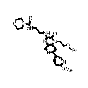 CCCOCCn1c(=O)c(NCCNC(=O)N2CCOCC2)nc2cnc(-c3ccc(OC)nc3)cc21